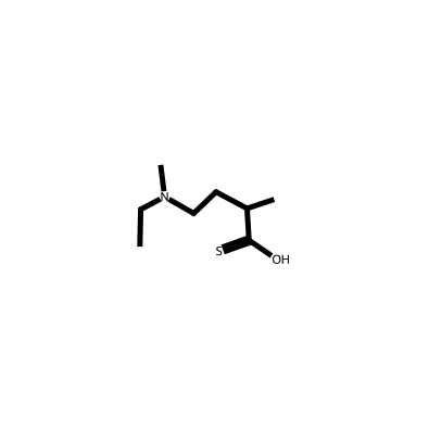 CCN(C)CCC(C)C(O)=S